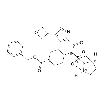 O=C(NC1C[C@H]2CC[C@@H](C1)N2S(=O)(=O)CC1CCN(C(=O)OCc2ccccc2)CC1)c1cc(C2COC2)on1